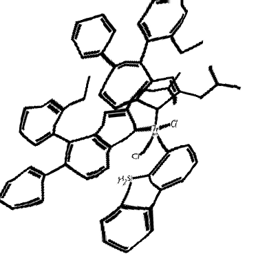 CCc1ccccc1-c1c(-c2ccccc2)ccc2c1C=C(CC(C)C)[CH]2[Zr]([Cl])([Cl])([c]1cccc2c1[SiH2]c1ccccc1-2)[CH]1C(CC(C)C)=Cc2c1ccc(-c1ccccc1)c2-c1ccccc1CC